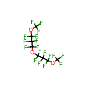 FC(F)(F)OC(F)(F)C(F)(F)C(F)(F)OC(F)(F)C(F)(F)C(F)(F)OC(F)(F)F